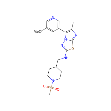 COc1cncc(-c2c(C)nc3sc(NCC4CCN(S(C)(=O)=O)CC4)nn23)c1